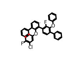 Fc1ccc(Oc2c(-c3ccc(-c4ccccc4)c(Oc4ccccc4)c3F)[c]ccc2-c2ccccc2)cc1Cl